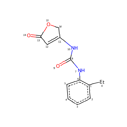 CCc1ccccc1NC(=O)NC1=CC(=O)OC1